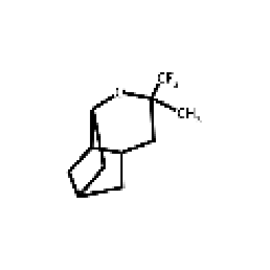 CC1(C(F)(F)F)CC2CC3CC(O1)C2C3